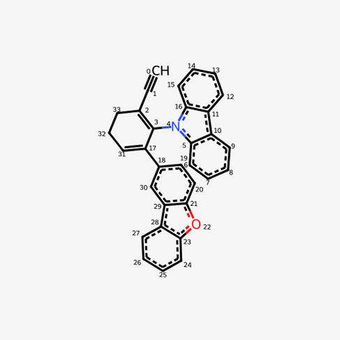 C#CC1=C(n2c3ccccc3c3ccccc32)C(c2ccc3oc4ccccc4c3c2)=CCC1